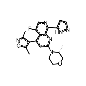 Cc1noc(C)c1-c1cc(N2CCOC[C@H]2C)nc2c(-c3ccn[nH]3)ncc(F)c12